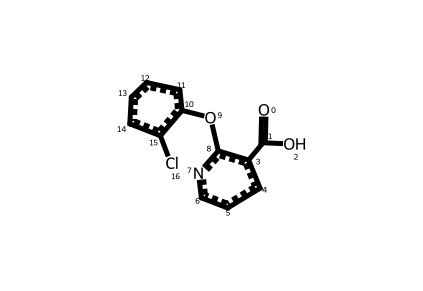 O=C(O)c1cccnc1Oc1ccccc1Cl